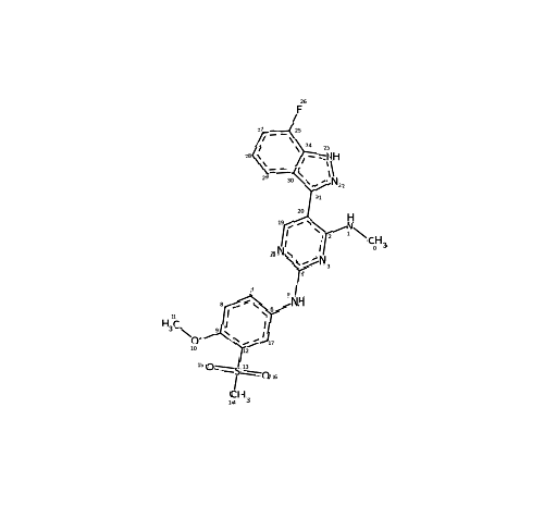 CNc1nc(Nc2ccc(OC)c(S(C)(=O)=O)c2)ncc1-c1n[nH]c2c(F)cccc12